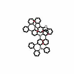 c1ccc(-c2ccccc2N(c2ccc3c(c2)-c2ccccc2-c2ccccc2N3c2ccccc2)c2ccc3c(c2)C2(c4ccccc4-c4ccccc4-3)c3ccccc3-c3c2ccc2c3oc3ccccc32)cc1